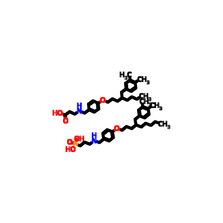 CCCCC(CCCOc1ccc(CNCCC(=O)O)cc1)Cc1ccc(C)c(C)c1.CCCCCC(CCCOc1ccc(CNCCCP(=O)(O)O)cc1)Cc1ccc(C)c(C)c1